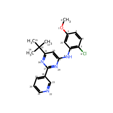 COc1ccc(Cl)c(Nc2cc(C(C)(C)C)nc(-c3cccnc3)n2)c1